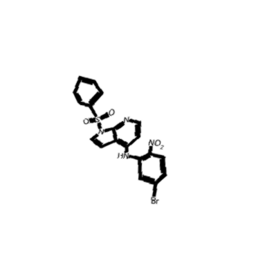 O=[N+]([O-])c1ccc(Br)cc1Nc1ccnc2c1ccn2S(=O)(=O)c1ccccc1